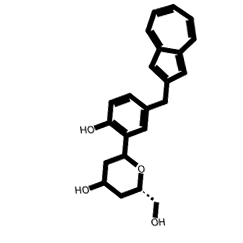 OC[C@@H]1CC(O)CC(c2cc(Cc3cc4cccccc-4c3)ccc2O)O1